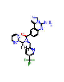 C[C@H](c1ncccn1)N(Cc1ccc(C(F)(F)F)cn1)C(=O)c1ccc2nc(N)n3cncc3c2c1